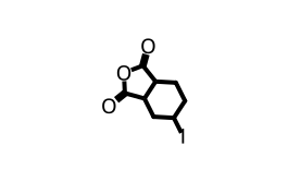 O=C1OC(=O)C2CC(I)CCC12